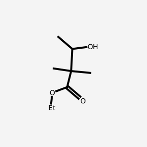 CCOC(=O)C(C)(C)C(C)O